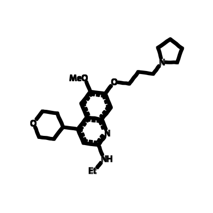 CCNc1cc(C2CCOCC2)c2cc(OC)c(OCCCN3CCCC3)cc2n1